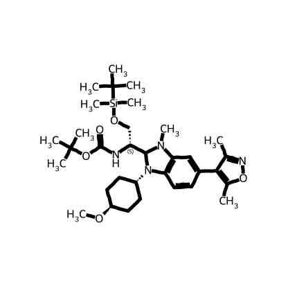 CO[C@H]1CC[C@H](N2c3ccc(-c4c(C)noc4C)cc3N(C)C2[C@@H](CO[Si](C)(C)C(C)(C)C)NC(=O)OC(C)(C)C)CC1